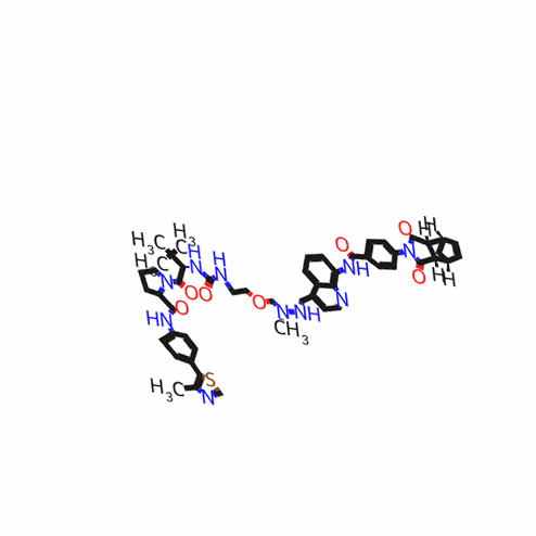 Cc1ncsc1-c1ccc(NC(=O)C2CCCN2C(=O)[C@@H](NC(=O)NCCOCN(C)NCc2ccnc3c(NC(=O)c4ccc(N5C(=O)[C@@H]6[C@H](C5=O)[C@@H]5C=C[C@H]6C5)cc4)cccc23)C(C)(C)C)cc1